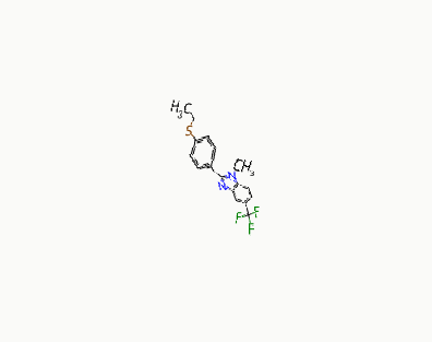 CCSc1ccc(-c2nc3cc(C(F)(F)F)ccc3n2C)cc1